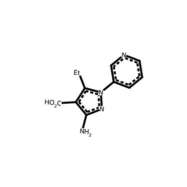 CCc1c(C(=O)O)c(N)nn1-c1cccnc1